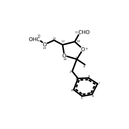 CC1(Cc2ccccc2)OC(C=O)C(COC=O)O1